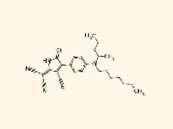 CCCCCCCN(c1ccc(C2=C(C#N)C(=C(C#N)C#N)NC2=O)cc1)C(C)CCC